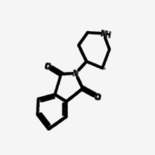 O=C1c2ccccc2C(=O)N1C1[CH]CNCC1